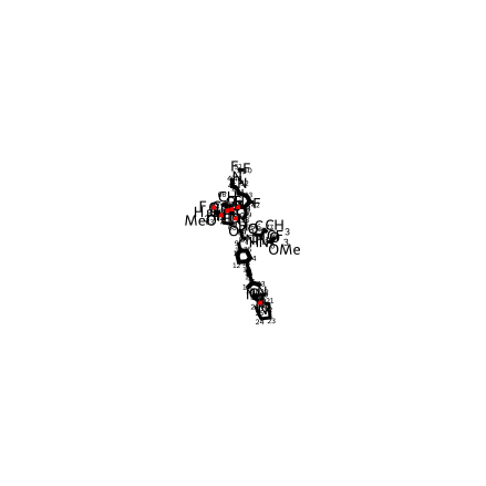 COC(=O)N[C@H](C(=O)N[C@@H](Cc1ccc(C#Cc2cnc(N3CC4CCC(C3)N4C3COC3)nc2)cc1)[C@H](CN(Cc1c(F)cc(-c2ccn(C(F)F)n2)cc1F)NC(=O)[C@@H](NC(=O)OC)C(C)(C)C(F)(F)F)OC(=O)CN(C)C)C(C)(C)C(F)(F)F